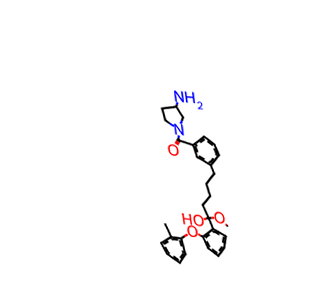 COC(O)(CCCCc1cccc(C(=O)N2CCC(N)C2)c1)c1ccccc1Oc1ccccc1C